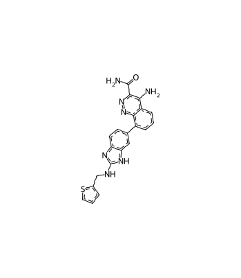 NC(=O)c1nnc2c(-c3ccc4nc(NCc5cccs5)[nH]c4c3)cccc2c1N